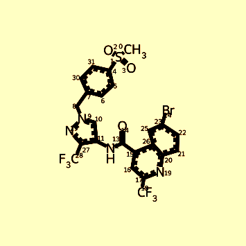 CS(=O)(=O)c1ccc(Cn2cc(NC(=O)c3cc(C(F)(F)F)nc4ccc(Br)cc34)c(C(F)(F)F)n2)cc1